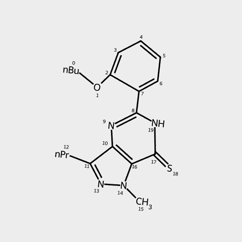 CCCCOc1ccccc1-c1nc2c(CCC)nn(C)c2c(=S)[nH]1